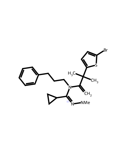 C=C(N(CCCc1ccccc1)/C(=N\NC)C1CC1)C(C)(C)c1ccc(Br)s1